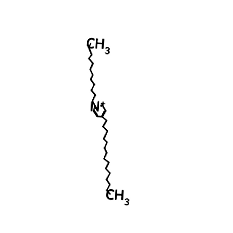 CCCCCCCCCCCCCCCc1cc[n+](CCCCCCCCCCCC)cc1